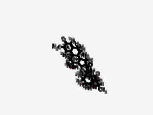 [2H]C[C@]12C([2H])=C(C)C(=O)C([2H])=C1C([2H])([2H])C([2H])([2H])[C@@]1([2H])[C@]3([2H])C([2H])([2H])[C@@]4([2H])O[C@@]([2H])(C5([2H])C([2H])([2H])C([2H])([2H])C([2H])([2H])C([2H])([2H])C5([2H])[2H])O[C@@]4(C(=O)C([2H])([2H])OC(=O)C([2H])(C([2H])([2H])[2H])C([2H])([2H])C)[C@@]3(C[2H])C([2H])(C)[C@]([2H])(O[2H])[C@]21[2H]